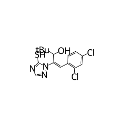 CC(C)(C)C(O)/C(=C\c1ccc(Cl)cc1Cl)n1ncnc1S